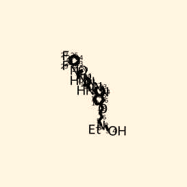 CCN(CCO)CCCOc1ccc2c(Nc3cn(CC(=O)Nc4cccc(F)c4F)nn3)ncnc2c1